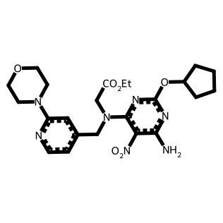 CCOC(=O)CN(Cc1ccnc(N2CCOCC2)c1)c1nc(OC2CCCC2)nc(N)c1[N+](=O)[O-]